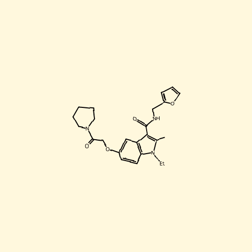 CCn1c(C)c(C(=O)NCc2ccco2)c2cc(OCC(=O)N3CCCCC3)ccc21